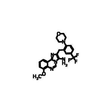 COc1cccc2c1ncn1c(N)c(Cc3cc(C(F)(F)F)ccc3N3CCOCC3)nc21